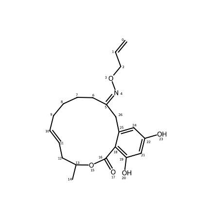 C=CCO/N=C1\CCCC/C=C/CC(C)OC(=O)c2c(O)cc(O)cc2C1